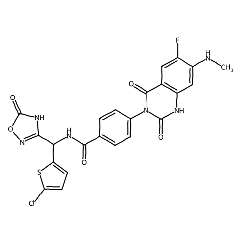 CNc1cc2[nH]c(=O)n(-c3ccc(C(=O)NC(c4noc(=O)[nH]4)c4ccc(Cl)s4)cc3)c(=O)c2cc1F